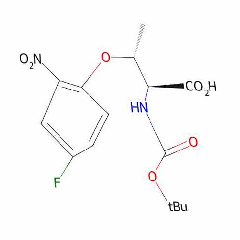 C[C@@H](Oc1ccc(F)cc1[N+](=O)[O-])[C@H](NC(=O)OC(C)(C)C)C(=O)O